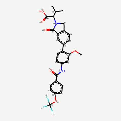 COc1cc(NC(=O)c2ccc(OC(F)(F)F)cc2)ccc1-c1ccc2c(c1)C(=O)N(C(C(=O)O)C(C)C)C2